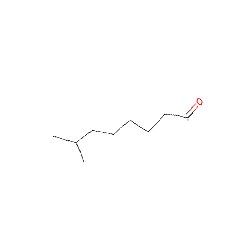 CC(C)CCCCC[C]=O